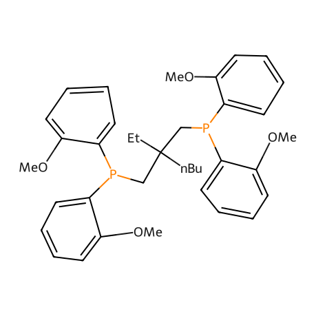 CCCCC(CC)(CP(c1ccccc1OC)c1ccccc1OC)CP(c1ccccc1OC)c1ccccc1OC